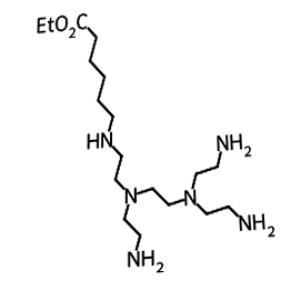 CCOC(=O)CCCCCNCCN(CCN)CCN(CCN)CCN